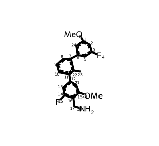 COc1cc(F)cc(-c2cccc(-c3cc(F)c(CN)c(OC)c3)c2C)c1